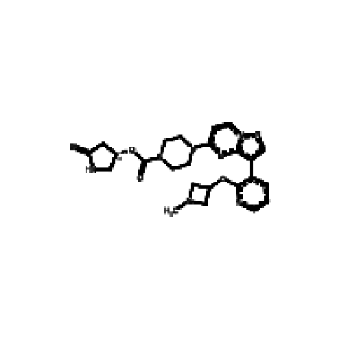 CN1CC(Oc2ncccc2-c2cnn3ccc(N4CCN(C(=O)O[C@@H]5CNC(=O)C5)CC4)nc23)C1